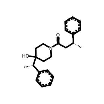 C[C@H](CC(=O)N1CCC(O)([C@@H](C)c2cc[c]cc2)CC1)c1ccccc1